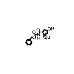 CC(C)(C)N1C[C@H](O)C[C@H]1C(=O)NC(=O)OCc1ccccc1